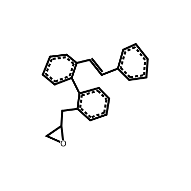 C(=C\c1ccccc1-c1ccccc1CC1CO1)/c1ccccc1